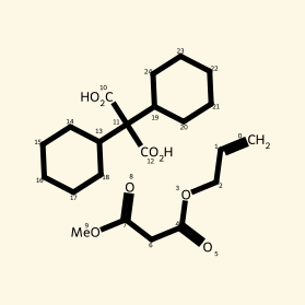 C=CCOC(=O)CC(=O)OC.O=C(O)C(C(=O)O)(C1CCCCC1)C1CCCCC1